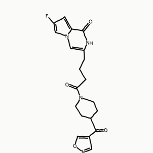 O=C(c1cnoc1)C1CCN(C(=O)CCCc2cn3cc(F)cc3c(=O)[nH]2)CC1